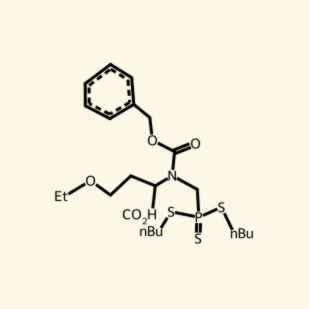 CCCCSP(=S)(CN(C(=O)OCc1ccccc1)C(CCOCC)C(=O)O)SCCCC